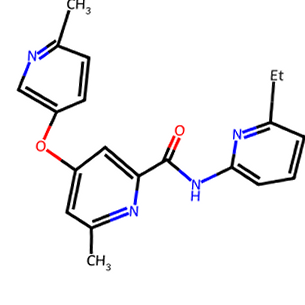 CCc1cccc(NC(=O)c2cc(Oc3ccc(C)nc3)cc(C)n2)n1